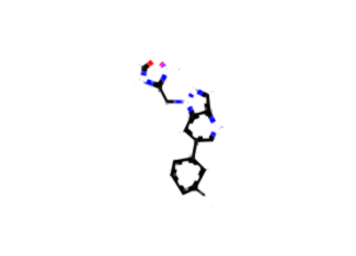 FC(F)(F)c1cccc(-c2cnc3cnn(Cc4ncon4)c3c2)c1